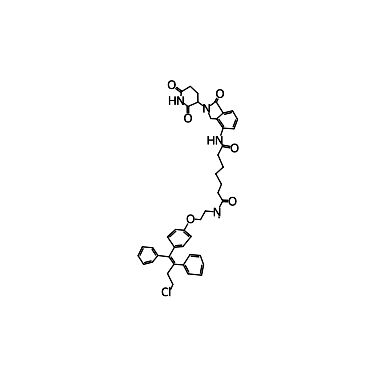 CN(CCOc1ccc(C(=C(CCCl)c2ccccc2)c2ccccc2)cc1)C(=O)CCCCCC(=O)Nc1cccc2c1CN(C1CCC(=O)NC1=O)C2=O